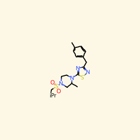 Cc1ccc(Cc2nsc(N3CCN(S(=O)(=O)CC(C)C)CC3C)n2)cc1